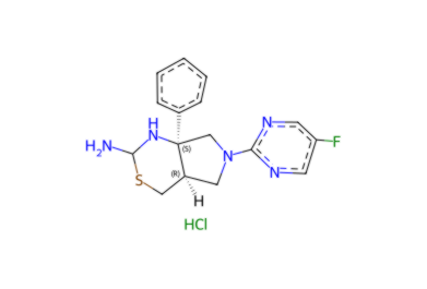 Cl.NC1N[C@@]2(c3ccccc3)CN(c3ncc(F)cn3)C[C@H]2CS1